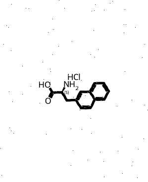 Cl.N[C@@H](Cc1ccc2ccccc2c1)C(=O)O